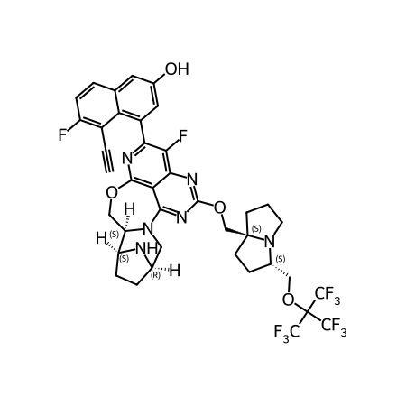 C#Cc1c(F)ccc2cc(O)cc(-c3nc4c5c(nc(OC[C@@]67CCCN6[C@H](COC(C(F)(F)F)(C(F)(F)F)C(F)(F)F)CC7)nc5c3F)N3C[C@H]5CC[C@H](N5)[C@H]3CO4)c12